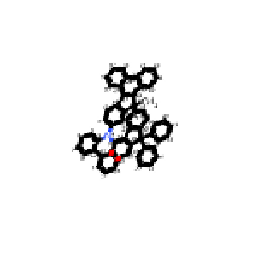 CC1(C)c2cc(N(c3ccccc3-c3ccccc3)c3cccc4c3-c3ccccc3C4(c3ccccc3)c3ccccc3)ccc2-c2c1c1ccccc1c1ccccc21